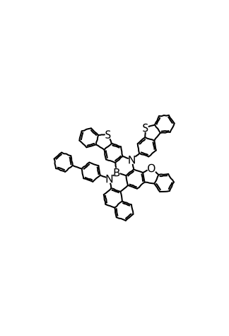 c1ccc(-c2ccc(N3B4c5cc6c(cc5N(c5ccc7c(c5)sc5ccccc57)c5c4c(cc4c5oc5ccccc54)-c4c3ccc3ccccc43)sc3ccccc36)cc2)cc1